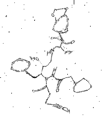 C#CCCC(=O)N(NC(=O)CN1CCCC1)[C@@H](Cc1ccccc1)[C@H](O)CNC(C(C)C)S(=O)(=O)c1ccc2c(c1)OCO2